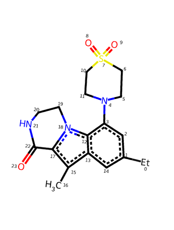 CCc1cc(N2CCS(=O)(=O)CC2)c2c(c1)c(C)c1n2CCNC1=O